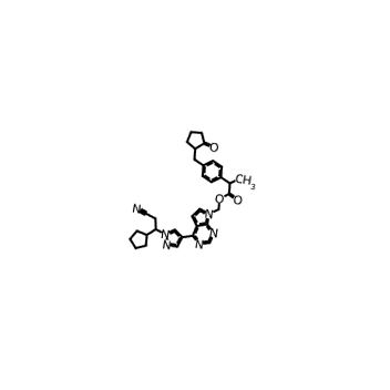 CC(C(=O)OCn1ccc2c(-c3cnn(C(CC#N)C4CCCC4)c3)ncnc21)c1ccc(CC2CCCC2=O)cc1